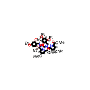 CCOc1cc(OCC)c(CN(CCN(Cc2cc(OC)cc(C(=O)OC)n2)Cc2c(OCC)cc(OCC)cc2OCC)Cc2cc(OC)cc(C(=O)OC)n2)c(OCC)c1